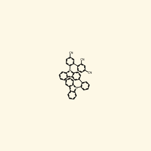 N#Cc1ccc(-c2cc(C#N)ccc2-n2c3ccccc3c3cc(-c4ccccc4-n4c5ccccc5c5ccccc54)ccc32)c(C#N)c1